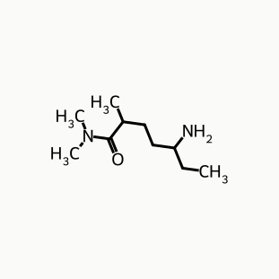 CCC(N)CCC(C)C(=O)N(C)C